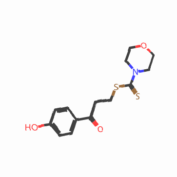 O=C(CCSC(=S)N1CCOCC1)c1ccc(O)cc1